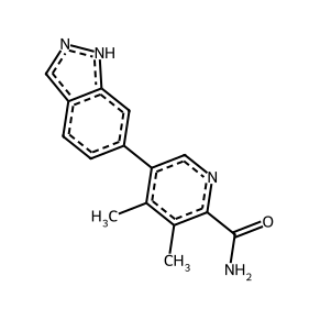 Cc1c(-c2ccc3cn[nH]c3c2)cnc(C(N)=O)c1C